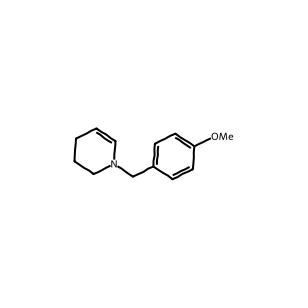 COc1ccc(CN2C=CCCC2)cc1